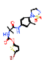 Cc1cc(NC(=O)C(C)(C)NC(=O)Oc2ccc(Br)s2)ccc1N1CCNS1(=O)=O